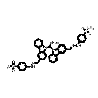 CCCCCCCCCC(n1c2ccccc2c2cc(/C=N/Nc3ccc(S(C)(=O)=O)cc3)ccc21)n1c2ccccc2c2cc(/C=N/Nc3ccc(S(C)(=O)=O)cc3)ccc21